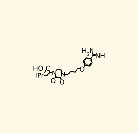 CC(C)CC(C(=O)O)N1CCN(CCCCOc2ccc(C(=N)N)cc2)C(=O)C1=O